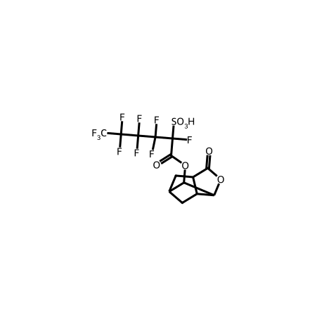 O=C1OC2C3CC(CC13)C2OC(=O)C(F)(C(F)(F)C(F)(F)C(F)(F)C(F)(F)F)S(=O)(=O)O